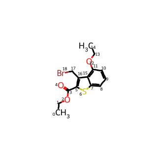 CCOC(=O)c1sc2cccc(OCC)c2c1CBr